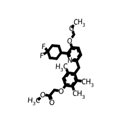 COCOc1ccc(Cc2c(C)cc(OCC(=O)OC)c(C)c2C)nc1C1CCC(F)(F)CC1